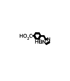 O=C(O)c1ccc(Cc2ncc[nH]2)c(O)c1